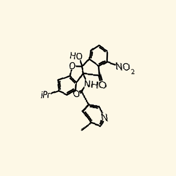 Cc1cncc(C(=O)NC23C(=O)c4c([N+](=O)[O-])cccc4C2(O)Oc2cc(C(C)C)ccc23)c1